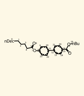 CCCCCCCCCCCCCCC(=O)Oc1ccc(-c2ccc(C(=O)OCCCC)cc2)cc1